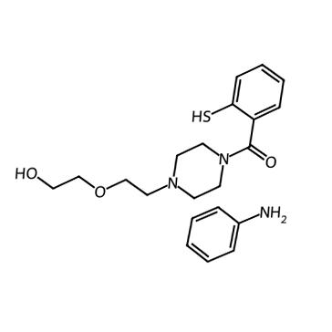 Nc1ccccc1.O=C(c1ccccc1S)N1CCN(CCOCCO)CC1